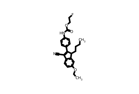 CCCCC1C(c2ccc(NC(=O)OCCF)cc2)=C(C#N)c2ccc(OCC)cc21